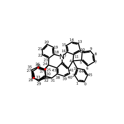 c1ccc(C2(c3ccccc3)c3ccccc3N3c4ccccc4C45c6ccccc6C(c6ccccc64)c4ccc2c3c45)cc1